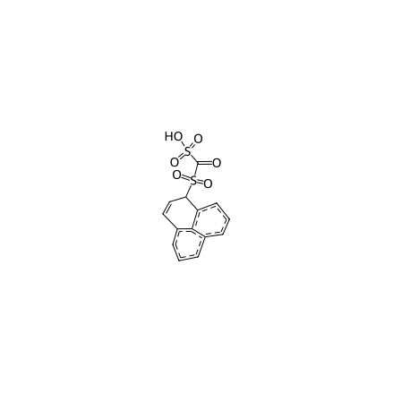 O=C(S(=O)(=O)O)S(=O)(=O)C1C=Cc2cccc3cccc1c23